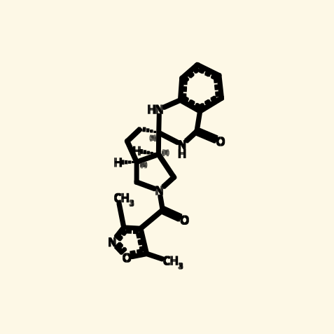 Cc1noc(C)c1C(=O)N1C[C@H]2CC[C@]3(NC(=O)c4ccccc4N3)[C@H]2C1